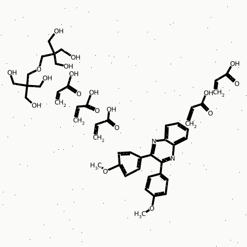 C=CC(=O)O.C=CC(=O)O.C=CC(=O)O.C=CC(=O)O.C=CC(=O)O.COc1ccc(-c2nc3ccccc3nc2-c2ccc(OC)cc2)cc1.OCC(CO)(CO)COCC(CO)(CO)CO